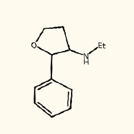 CCNC1CCOC1c1ccccc1